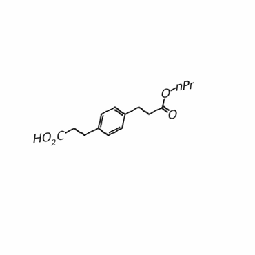 CCCOC(=O)CCc1ccc(CCC(=O)O)cc1